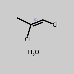 C/C(Cl)=C/Cl.O